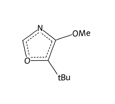 COc1ncoc1C(C)(C)C